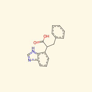 O=C(O)C(Cc1ccccc1)c1cccc2nc[nH]c12